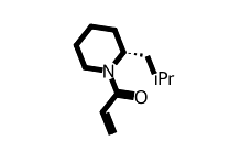 C=CC(=O)N1CCCC[C@@H]1CC(C)C